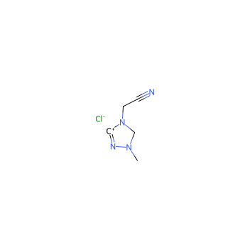 CN1CN(CC#N)[C+]=N1.[Cl-]